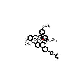 COc1ccc(CN(Cc2ccc(OC)cc2)S(=O)(=O)c2c(Br)ccc(-c3ccc(C4CN(C(=O)O)C4)cc3)c2-c2nnnn2Cc2ccc(OC)cc2)cc1